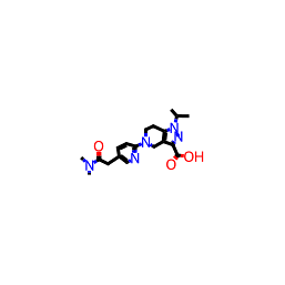 CC(C)n1nc(C(=O)O)c2c1CCN(c1ccc(CC(=O)N(C)C)cn1)C2